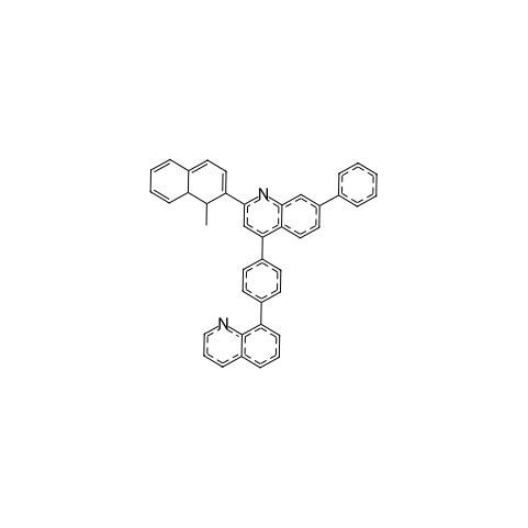 CC1C(c2cc(-c3ccc(-c4cccc5cccnc45)cc3)c3ccc(-c4ccccc4)cc3n2)=CC=C2C=CC=CC21